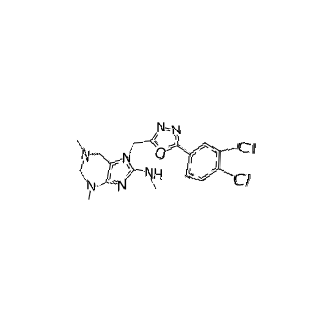 CNc1nc2c(n1Cc1nnc(-c3ccc(Cl)c(Cl)c3)o1)CN(C)CN2C